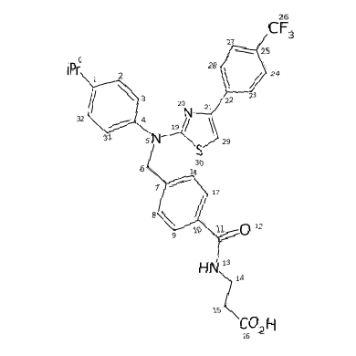 CC(C)c1ccc(N(Cc2ccc(C(=O)NCCC(=O)O)cc2)c2nc(-c3ccc(C(F)(F)F)cc3)cs2)cc1